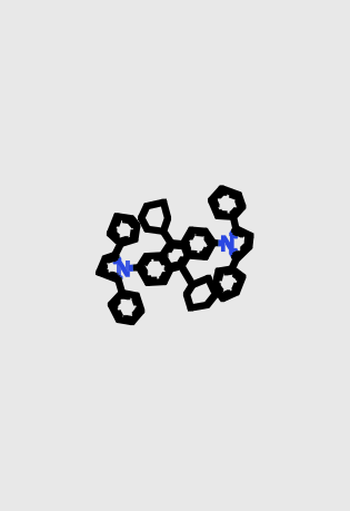 c1ccc(-c2ccc(-c3ccccc3)n2-c2ccc3c(C4CCCCC4)c4cc(-n5c(-c6ccccc6)ccc5-c5ccccc5)ccc4c(C4CCCCC4)c3c2)cc1